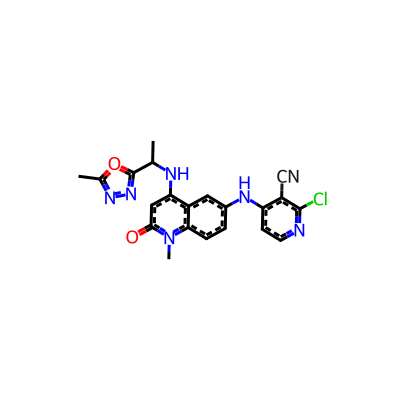 Cc1nnc(C(C)Nc2cc(=O)n(C)c3ccc(Nc4ccnc(Cl)c4C#N)cc23)o1